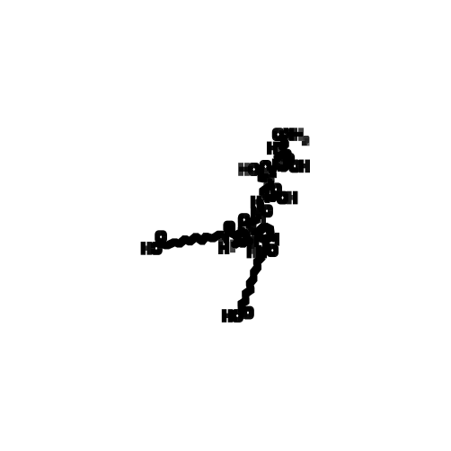 NC(=O)CNC(=O)CN(CCN(CCN(CC(=O)O)CC(=O)NCC(=O)N(c1c(I)cc(I)c(C(=O)NCCCCCCCCCCC(=O)O)c1I)c1c(I)cc(I)c(C(=O)NCCCCCCCCCCC(=O)O)c1I)CC(=O)O)CC(=O)O